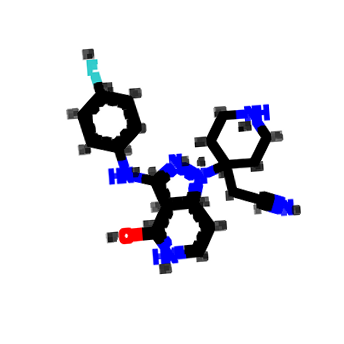 N#CCC1(n2nc(Nc3ccc(F)cc3)c3c(=O)[nH]ccc32)CCNCC1